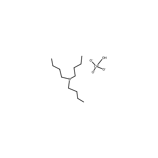 CCCCN(CCCC)CCCC.[O-][Cl+3]([O-])([O-])O